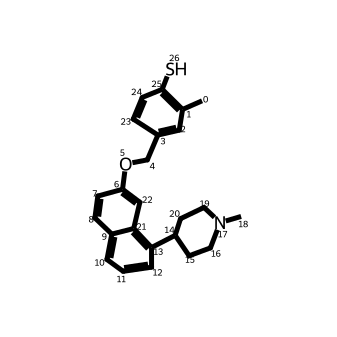 Cc1cc(COc2ccc3cccc(C4CCN(C)CC4)c3c2)ccc1S